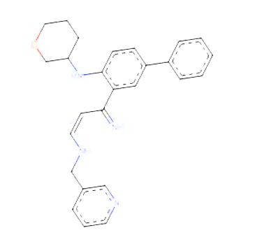 N=C(/C=C\NCc1cccnc1)c1cc(-c2ccccc2)ccc1NC1CCCOC1